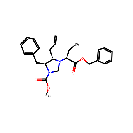 C=CC[C@@H]1[C@H](Cc2ccccc2)N(C(=O)OC(C)(C)C)CN1[C@@H](CC(C)C)C(=O)OCc1ccccc1